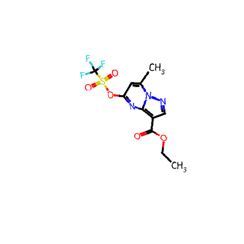 CCOC(=O)c1cnn2c(C)cc(OS(=O)(=O)C(F)(F)F)nc12